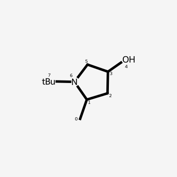 CC1CC(O)CN1C(C)(C)C